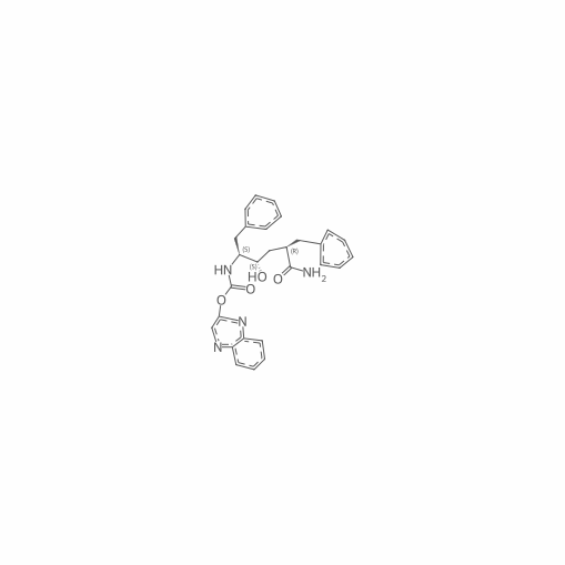 NC(=O)[C@H](Cc1ccccc1)C[C@H](O)[C@H](Cc1ccccc1)NC(=O)Oc1cnc2ccccc2n1